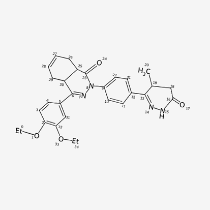 CCOc1ccc(C2=NN(c3ccc(C4=NNC(=O)CC4C)cc3)C(=O)C3CC=CCC23)cc1OCC